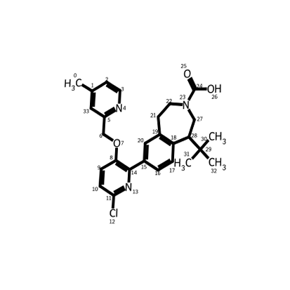 Cc1ccnc(COc2ccc(Cl)nc2-c2ccc3c(c2)CCN(C(=O)O)CC3C(C)(C)C)c1